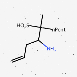 C=CCC(N)C(C)(CCCCC)S(=O)(=O)O